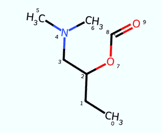 CCC(CN(C)C)O[C]=O